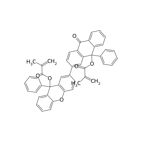 C=C(C)C(=O)OC1(c2ccccc2)c2ccccc2Oc2ccc(-c3ccc4c(c3)C(OC(=O)C(=C)C)(c3ccccc3)c3ccccc3C4=O)cc21